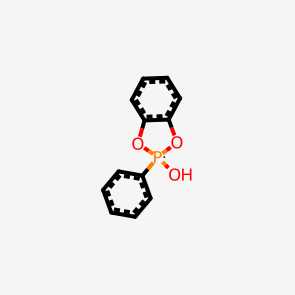 O[P]1(c2ccccc2)Oc2ccccc2O1